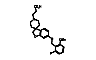 COc1cccc(F)c1COc1ccc2c(c1)OCC21CCN(CCC(=O)O)CC1